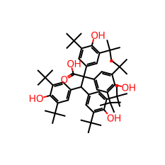 CC(C)(C)c1cc(C(c2cc(C(C)(C)C)c(O)c(C(C)(C)C)c2)C(C(=O)O)(c2cc(C(C)(C)C)c(O)c(C(C)(C)C)c2)c2cc(C(C)(C)C)c(O)c(C(C)(C)C)c2)cc(C(C)(C)C)c1O